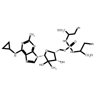 CCOC(=O)C(CC(C)C)NP(=O)(NC(CC(C)C)C(=O)OCC)OC[C@H]1O[C@@H](n2cnc3c(NC4CC4)nc(C)nc32)C(C)(O)[C@H]1O